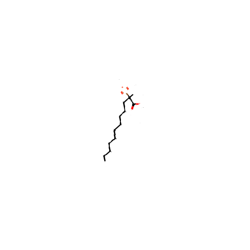 CCCCCCCCCCC(C)(C(=O)[O-])S(=O)(=O)O.[K+]